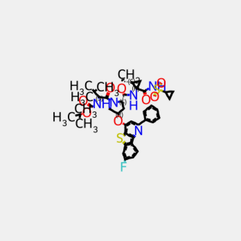 C=C[C@@H]1C[C@]1(NC(=O)[C@@H]1C[C@@H](Oc2cc(-c3ccccc3)nc3c2sc2cc(F)ccc23)CN1C(=O)[C@@H](NC(=O)OC(C)(C)C)C(C)(C)C)C(=O)NS(=O)(=O)C1CC1